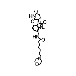 Cn1c(=O)n(C2CCC(=O)NC2=O)c2cccc(CNC(=O)CCCCCCN3CCOCC3)c21